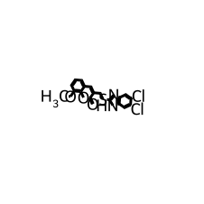 COc1cccc2cc(CSc3nc4cc(Cl)c(Cl)cc4[nH]3)c(=O)oc12